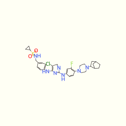 O=S(=O)(NCc1ccc(Nc2nc(Nc3ccc(N4CCN(C5CC6CCC5C6)CC4)c(F)c3)ncc2Cl)cc1)C1CC1